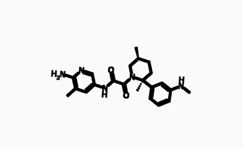 CNc1cccc([C@]2(C)CC[C@H](C)CN2C(=O)C(=O)Nc2cnc(N)c(C)c2)c1